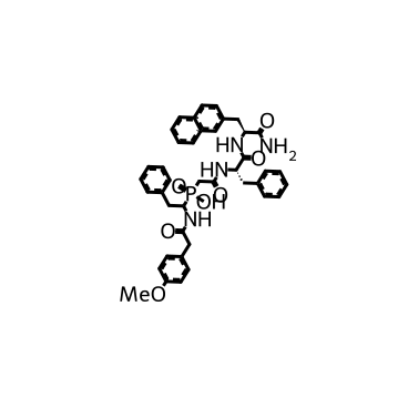 COc1ccc(CC(=O)NC(Cc2ccccc2)P(=O)(O)CC(=O)N[C@@H](Cc2ccccc2)C(=O)N[C@@H](Cc2ccc3ccccc3c2)C(N)=O)cc1